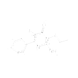 CC=Cn1c(N)nc(-c2ccccc2)c(I)c1=O